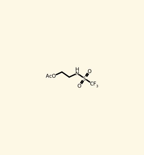 CC(=O)OCCNS(=O)(=O)C(F)(F)F